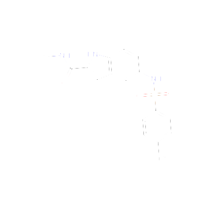 CCCNC(=O)c1cc2cc(NS(=O)(=O)c3ccc(C(C)C)cc3)ccc2[nH]1